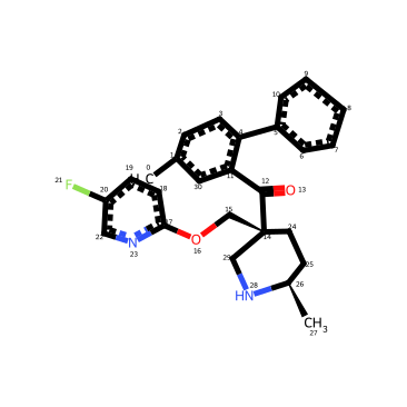 Cc1ccc(-c2ccccc2)c(C(=O)[C@]2(COc3ccc(F)cn3)CC[C@@H](C)NC2)c1